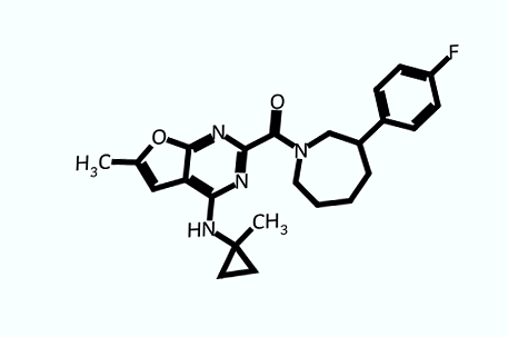 Cc1cc2c(NC3(C)CC3)nc(C(=O)N3CCCCC(c4ccc(F)cc4)C3)nc2o1